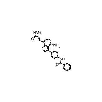 CNC(=O)/C=C/c1cnc(N)c2c(-c3ccc(NC(=O)c4ccccc4)cc3)csc12